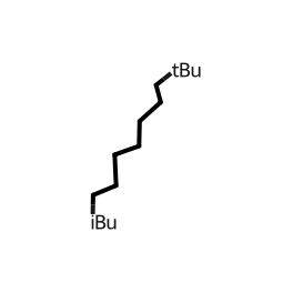 [CH2]CC(C)CCCCCCCC(C)(C)C